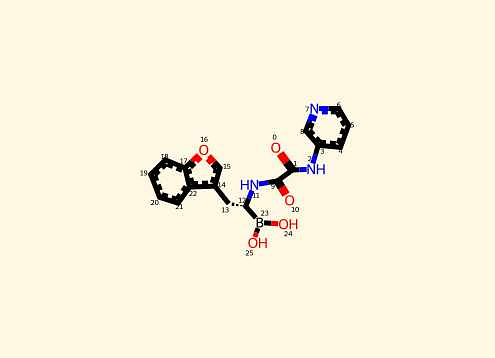 O=C(Nc1cccnc1)C(=O)N[C@@H](Cc1coc2ccccc12)B(O)O